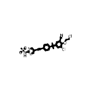 CC(C)(c1ccc(C#Cc2cnc(NS(C)(=O)=O)nc2)cc1)c1cc(Cl)c(OCCCl)c(C#N)c1